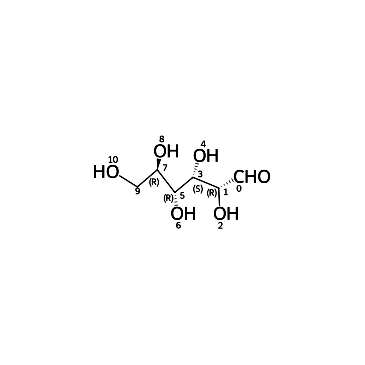 O=[12CH][C@H](O)[C@@H](O)[C@H](O)[C@H](O)CO